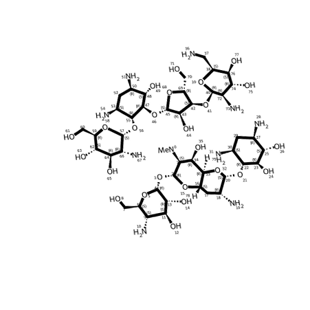 CN[C@@H]1[C@@H](O[C@H]2O[C@H](CO)[C@@H](N)[C@H](O)[C@H]2O)O[C@H]2C[C@@H](N)[C@@H](O[C@H]3[C@H](O)[C@@H](O)[C@H](N)C[C@@H]3N)O[C@@H]2[C@@H]1O.NC[C@@H]1O[C@H](O[C@H]2[C@@H](O)[C@H](O[C@@H]3[C@@H](O)[C@H](N)C[C@H](N)[C@H]3O[C@H]3O[C@H](CO)[C@@H](O)[C@H](O)[C@H]3N)O[C@@H]2CO)[C@H](N)[C@@H](O)[C@@H]1O